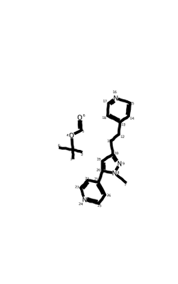 CC(C)(C)OC=O.Cn1nc(CCc2ccncc2)cc1-c1ccncc1